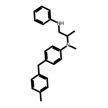 Cc1ccc(Cc2ccc(N(C)C(C)CNc3ccccc3)cc2)cc1